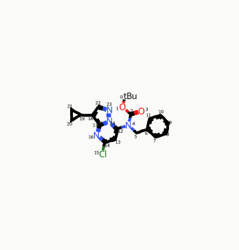 CC(C)(C)OC(=O)N(Cc1ccccc1)c1cc(Cl)nc2c(C3CC3)cnn12